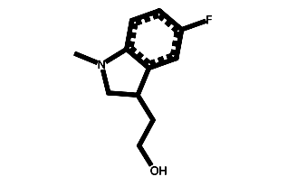 CN1CC(CCO)c2cc(F)ccc21